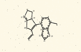 C=CC1=C(c2ccc(C)c3sccc23)N2CCN=C2S1